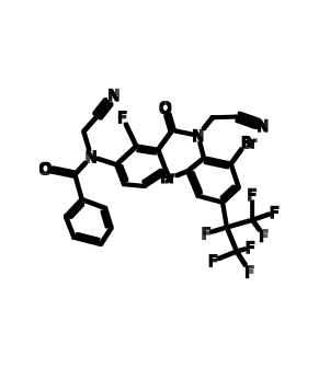 N#CCN(C(=O)c1ccccc1)c1cccc(C(=O)N(CC#N)c2c(Br)cc(C(F)(C(F)(F)F)C(F)(F)F)cc2Br)c1F